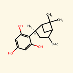 CC(=O)OC1C[C@@H](c2c(O)cc(O)cc2O)C2CC1C2(C)C